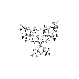 FC(F)(F)c1cc(-n2c3ccc(-c4c(C(F)(F)F)cc(C(F)(F)F)cc4C(F)(F)F)cc3c3cc(-c4c(C(F)(F)F)cc(C(F)(F)F)cc4C(F)(F)F)ccc32)cc(C(F)(F)F)c1